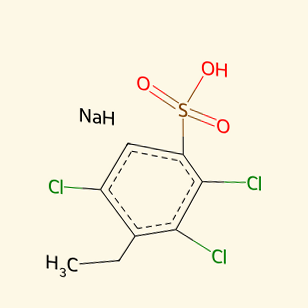 CCc1c(Cl)cc(S(=O)(=O)O)c(Cl)c1Cl.[NaH]